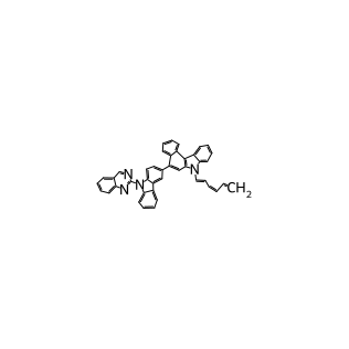 C=C/C=C\C=C\n1c2ccccc2c2c3ccccc3c(-c3ccc4c(c3)c3ccccc3n4-c3ncc4ccccc4n3)cc21